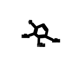 [B]c1ccc(CCCC)c(CCCC)c1CCCC